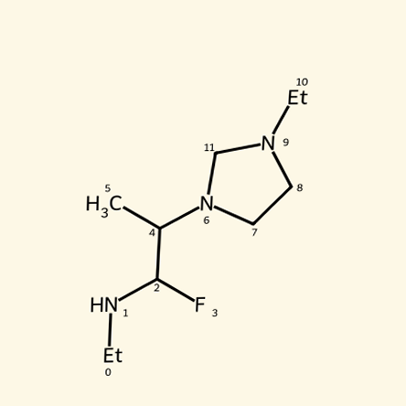 CCNC(F)C(C)N1CCN(CC)C1